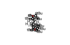 CC(C)(C)OC1=CC(OC(C)(C)C)=C(C(O)c2c(OC(C)(C)C)cc(OC(C)(C)C)cc2OC(C)(C)CCC(C)(C)Oc2cc(OC(C)(C)C)c(OC(C)(C)C)c(C(O)c3c(OC(C)(C)C)c(OC(C)(C)C)cc(OC(C)(C)C)c3OC(C)(C)C)c2OC(C)(C)C)C(OC(C)(C)C)C1